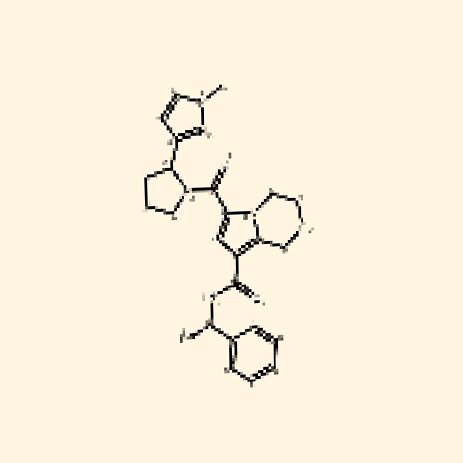 CC[C@@H](NC(=O)c1cc(C(=O)N2CCCC2c2ccn(C)n2)n2c1COCC2)c1ccccc1